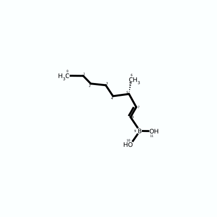 CCCCC[C@H](C)/C=C/B(O)O